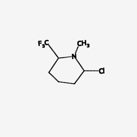 CN1C(Cl)CCCC1C(F)(F)F